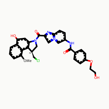 COc1cccc2c(O)cc3c(c12)[C@H](CCl)CN3C(=O)c1cn2cc(NC(=O)c3ccc(OCCO)cc3)ccc2n1